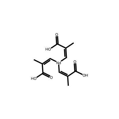 CC(=[CH][Nd]([CH]=C(C)C(=O)O)[CH]=C(C)C(=O)O)C(=O)O